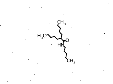 CCCCCNC(=O)C(CCCCC)CCCCC